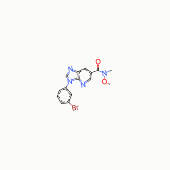 CON(C)C(=O)c1cnc2c(c1)ncn2-c1cccc(Br)c1